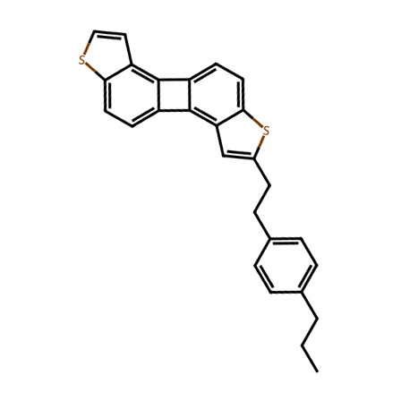 CCCc1ccc(CCc2cc3c4c(ccc3s2)-c2c-4ccc3sccc23)cc1